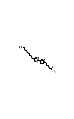 CCCCCCCCCc1cnc(-c2ccc(CCCCC(C)F)c(F)c2)nc1